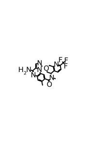 Cc1cc2nc(N)c3cncn3c2cc1C(=O)N(C)[C@@H]1COCc2nc(C(F)(F)F)ccc21